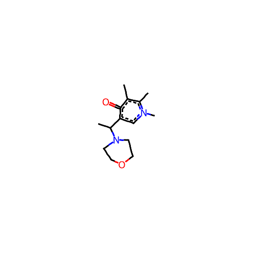 Cc1c(C)n(C)cc(C(C)N2CCOCC2)c1=O